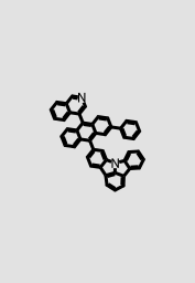 c1ccc(-c2ccc3c(-c4cncc5ccccc45)c4ccccc4c(-c4ccc5c6cccc7c8ccccc8n(c5c4)c76)c3c2)cc1